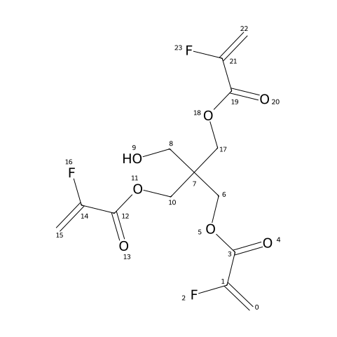 C=C(F)C(=O)OCC(CO)(COC(=O)C(=C)F)COC(=O)C(=C)F